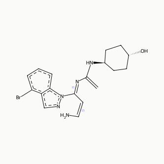 C=C(/N=C(\C=C/N)n1ncc2c(Br)cccc21)N[C@H]1CC[C@H](O)CC1